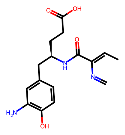 C=N/C(=C\C)C(=O)N[C@H](CCC(=O)O)Cc1ccc(O)c(N)c1